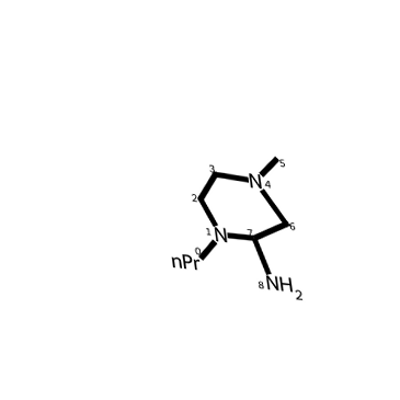 CCCN1CCN(C)CC1N